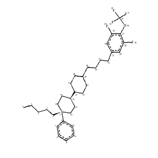 CCCCC[Si@]1(c2ccccc2)CC[C@H](C2CCC(CCCCc3cc(F)c(OC(F)(F)F)c(F)c3)CC2)CC1